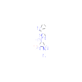 CC(=O)Nc1cc(Nc2nccc(-c3cn(C)c4ccccc34)n2)cc2cnn(CCN(C)C)c12